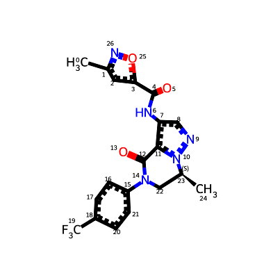 Cc1cc(C(=O)Nc2cnn3c2C(=O)N(c2ccc(C(F)(F)F)cc2)C[C@@H]3C)on1